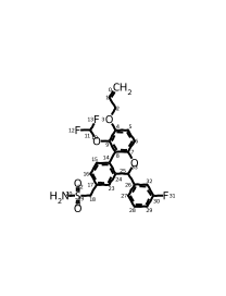 C=CCOc1ccc2c(c1OC(F)F)-c1ccc(CS(N)(=O)=O)cc1C(c1cccc(F)c1)O2